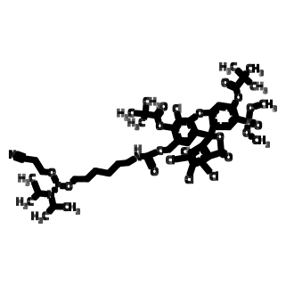 COP(=O)(OC)c1cc2c(cc1OC(=O)C(C)(C)C)Oc1c(cc(CCC(=O)NCCCCCCOP(OCCC#N)N(C(C)C)C(C)C)c(OC(=O)C(C)(C)C)c1Cl)C21OC(=O)c2c(Cl)c(Cl)c(Cl)c(Cl)c21